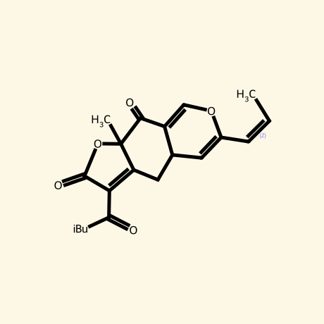 C/C=C\C1=CC2CC3=C(C(=O)C(C)CC)C(=O)OC3(C)C(=O)C2=CO1